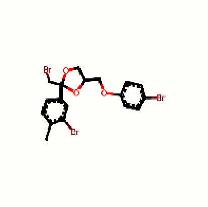 Cc1ccc(C2(CBr)OCC(COc3ccc(Br)cc3)O2)cc1Br